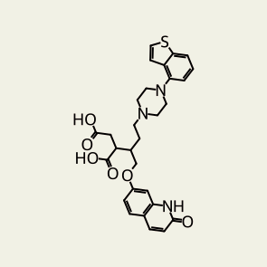 O=C(O)CC(C(=O)O)C(CCN1CCN(c2cccc3sccc23)CC1)COc1ccc2ccc(=O)[nH]c2c1